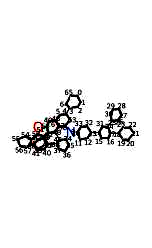 c1ccc(-c2cccc(N(c3ccc(-c4ccc(-c5ccccc5)c(-c5ccccc5)c4)cc3)c3cccc(-c4ccccc4)c3-c3cccc4oc5c6ccccc6ccc5c34)c2)cc1